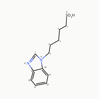 O=S(=O)(O)CCCCCn1cnc2ccccc21